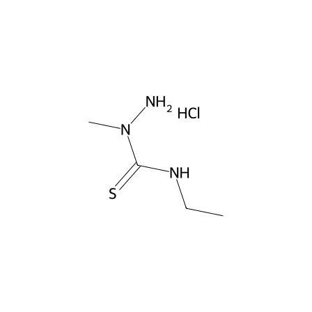 CCNC(=S)N(C)N.Cl